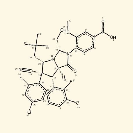 COc1cc(C(=O)O)ccc1N1C(=O)[C@H]2[C@H](c3cccc(Cl)c3F)[C@@](C#N)(c3ccc(Cl)cc3F)[C@H](CC(C)(C)C)N2[C@@H]1CO